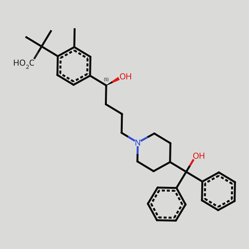 Cc1cc([C@@H](O)CCCN2CCC(C(O)(c3ccccc3)c3ccccc3)CC2)ccc1C(C)(C)C(=O)O